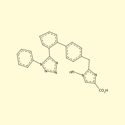 CCCn1cc(C(=O)O)nc1Cc1ccc(-c2ccccc2-c2nnnn2-c2ccccc2)cc1